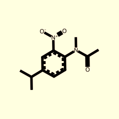 CC(=O)N(C)c1ccc(C(C)C)cc1[N+](=O)[O-]